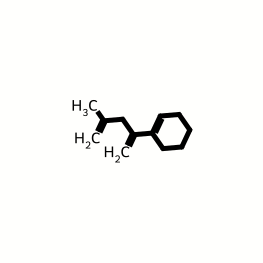 C=C(C)CC(=C)C1=CCCCC1